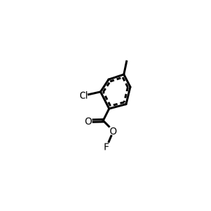 Cc1ccc(C(=O)OF)c(Cl)c1